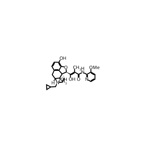 COc1cccnc1NC(=O)/C(C)=C(\O)[C@@H]1Oc2c(O)ccc3c2[C@@]12CCN(CC1CC1)[C@H](C3)[C@@]2(C)O